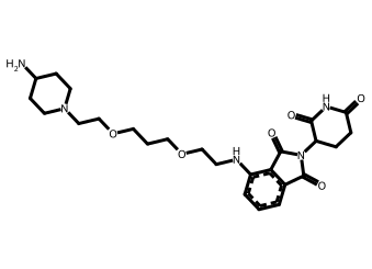 NC1CCN(CCOCCCOCCNc2cccc3c2C(=O)N(C2CCC(=O)NC2=O)C3=O)CC1